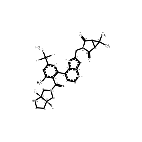 Cc1cc(C(F)(F)F)nc(-c2ccnc3cc(CN4C(=O)C5C(C4=O)C5(C)C)sc23)c1C(=O)N1C[C@@H]2CCN[C@@H]2C1.Cl